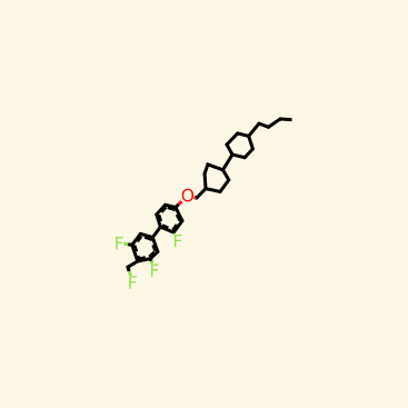 CCCCC1CCC(C2CCC(COc3ccc(-c4cc(F)c(CF)c(F)c4)c(F)c3)CC2)CC1